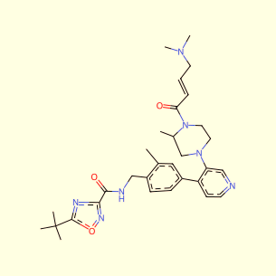 Cc1cc(-c2ccncc2N2CCN(C(=O)/C=C/CN(C)C)C(C)C2)ccc1CNC(=O)c1noc(C(C)(C)C)n1